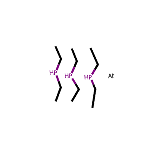 CCPCC.CCPCC.CCPCC.[Al]